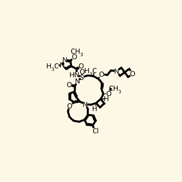 COc1nn(C)cc1C(=O)NS1(=O)=NC(=O)c2ccc3c(c2)N(Cc2ccc(Cl)cc2CCCCO3)C[C@@H]2CC[C@H]2[C@@H](OC)/C=C/[C@H](OCCN2CC3(COC3)C2)[C@H](C)C1